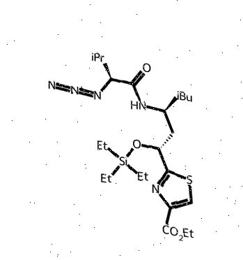 CCOC(=O)c1csc([C@@H](C[C@@H](NC(=O)[C@@H](N=[N+]=[N-])C(C)C)C(C)CC)O[Si](CC)(CC)CC)n1